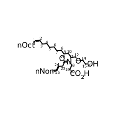 CCCCCCCC/C=C\CCCCCCCCC(COCCO)N(CCC(=O)O)C(=O)CC=CCCCCCCCCC